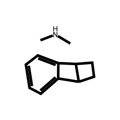 CNC.c1ccc2c(c1)C1CCC21